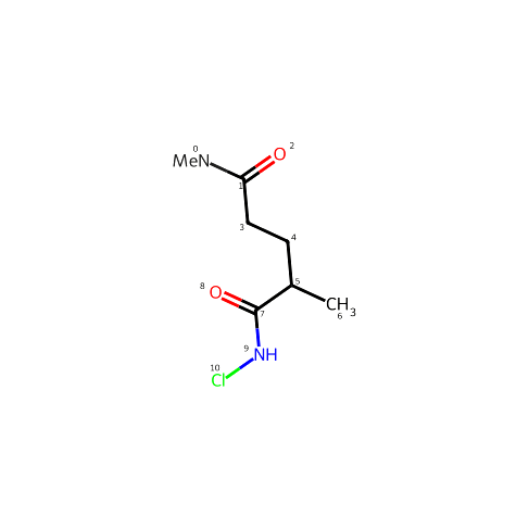 CNC(=O)CCC(C)C(=O)NCl